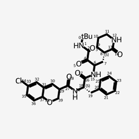 CC(C)(C)NC(=O)C(=O)C(C[C@@H]1CCCNC1=O)NC(=O)[C@H](Cc1ccccc1)NC(=O)C1C=C2C=C(Cl)C=CC2OC1